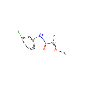 CO/C=C(/F)C(=O)Nc1cccc(F)c1